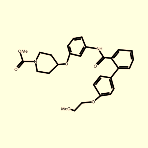 COCCOc1ccc(-c2ccccc2C(=O)Nc2cccc(OC3CCN(C(=O)OC)CC3)c2)cc1